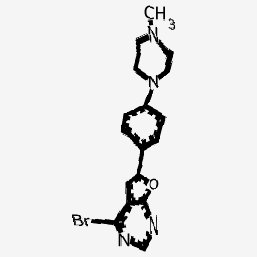 CN1CCN(c2ccc(-c3cc4c(Br)ncnc4o3)cc2)CC1